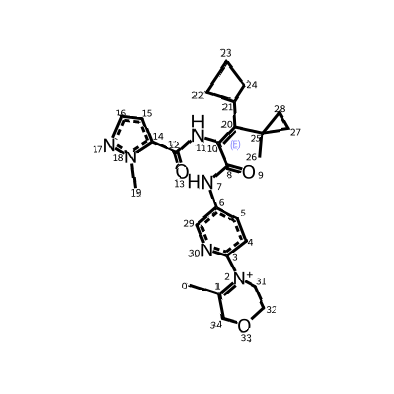 CC1=[N+](c2ccc(NC(=O)/C(NC(=O)c3ccnn3C)=C(/C3CCC3)C3(C)CC3)cn2)CCOC1